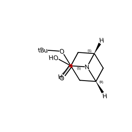 CC(C)(C)OC(=O)N1[C@@H]2C[C@H](O)C[C@H]1C2